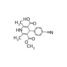 COC(=O)C1=C(C)NC(C)=C(C(=O)O)C1c1ccc(C#N)cc1